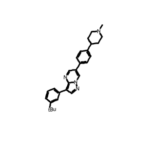 CN1CCC(c2ccc(-c3cnc4c(-c5cccc(C(C)(C)C)c5)cnn4c3)cc2)CC1